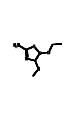 CCON1SC(N)=NC1OC